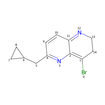 BrC1=c2nc(CC3CC3)ccc2=NCC1